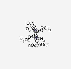 C=CC(=O)OCCOc1cc(/N=N/c2ccc([N+](=O)[O-])cc2[N+](=O)[O-])c(OCCOC(=O)C=C)cc1/N=N/c1ccc(N(CCCCCCCC)CCCCCCCC)cc1C